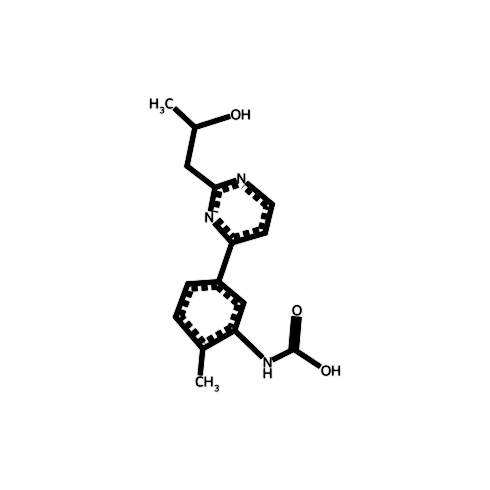 Cc1ccc(-c2ccnc(CC(C)O)n2)cc1NC(=O)O